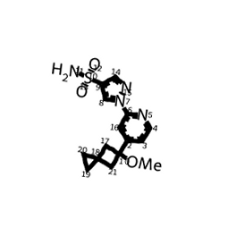 COC1(c2ccnc(-n3cc(S(N)(=O)=O)cn3)c2)CC2(CC2)C1